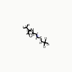 CC(C)c1coc(/C=C/SCC(C)(C)C)n1